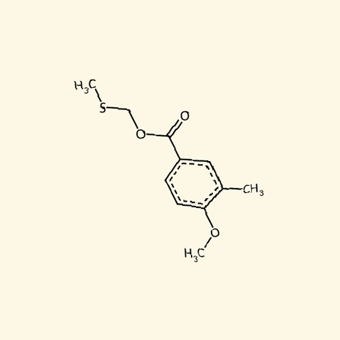 COc1ccc(C(=O)OCSC)cc1C